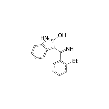 CCc1ccccc1C(=N)c1c(O)[nH]c2ccccc12